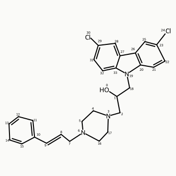 OC(CN1CCN(C/C=C/c2ccccc2)CC1)Cn1c2ccc(Cl)cc2c2cc(Cl)ccc21